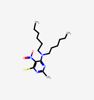 CCCCCCN(CCCCCC)c1nc(C)nc(S)c1[N+](=O)[O-]